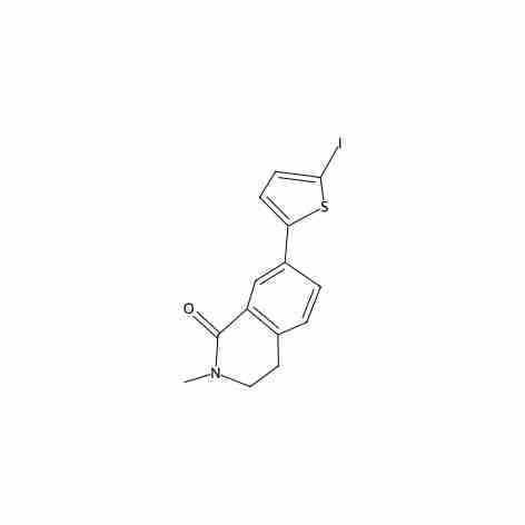 CN1CCc2ccc(-c3ccc(I)s3)cc2C1=O